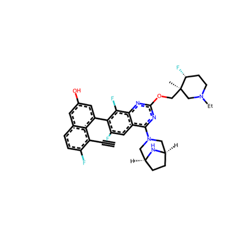 C#Cc1c(F)ccc2cc(O)cc(-c3c(F)cc4c(N5C[C@H]6CC[C@@H](C5)N6)nc(OC[C@]5(C)CN(CC)CC[C@H]5F)nc4c3F)c12